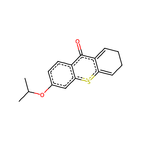 CC(C)Oc1ccc2c(=O)c3c(sc2c1)=CCCC=3